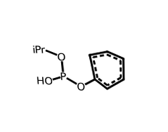 CC(C)OP(O)Oc1ccccc1